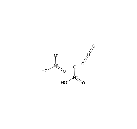 O=[N+]([O-])O.O=[N+]([O-])O.[O]=[U]=[O]